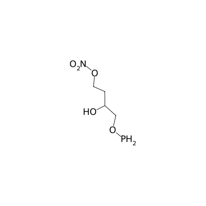 O=[N+]([O-])OCCC(O)COP